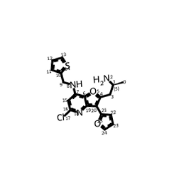 C[C@H](N)Cc1oc2c(NCc3cccs3)cc(Cl)nc2c1-c1ccco1